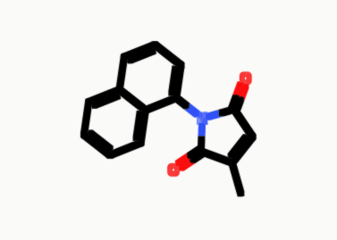 CC1=CC(=O)N(c2cccc3ccccc23)C1=O